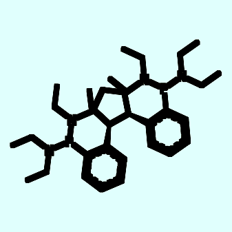 CCN(CC)P(c1ccccc1[C@H]1CCC[C@H]1c1ccccc1P(N(CC)CC)N(CC)CC)N(CC)CC